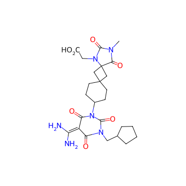 CN1C(=O)N(CC(=O)O)C2(CC3(CCC(N4C(=O)C(=C(N)N)C(=O)N(CC5CCCC5)C4=O)CC3)C2)C1=O